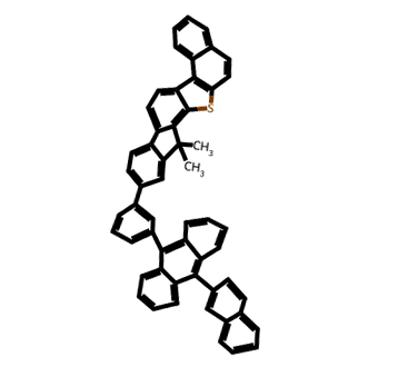 CC1(C)c2cc(-c3cccc(-c4c5ccccc5c(-c5ccc6ccccc6c5)c5ccccc45)c3)ccc2-c2ccc3c(sc4ccc5ccccc5c43)c21